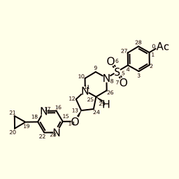 CC(=O)c1ccc(S(=O)(=O)N2CCN3C[C@H](Oc4cnc(C5CC5)cn4)C[C@H]3C2)cc1